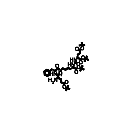 CC(C)(C)OC(=O)CC[C@H](NC(=O)N[C@@H](CCCCNC(=O)[C@H](Cc1ccccc1)NC(=O)[C@@H](N)CCC(=O)OC(C)(C)C)C(=O)OC(C)(C)C)C(=O)OC(C)(C)C